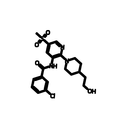 CS(=O)(=O)c1cnc(N2CCC(CCO)CC2)c(NC(=O)c2cccc(Cl)c2)c1